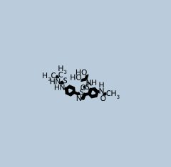 CC(=O)Nc1ccc(-c2cnc(-c3ccc(NC(=S)NC(C)C)cc3)s2)c([S+]([O-])NC(CO)CO)c1